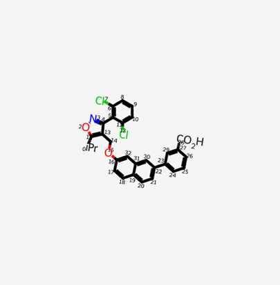 CC(C)c1onc(-c2c(Cl)cccc2Cl)c1COc1ccc2ccc(-c3cccc(C(=O)O)c3)cc2c1